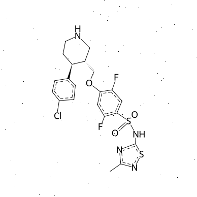 Cc1nsc(NS(=O)(=O)c2cc(F)c(OC[C@H]3CNCC[C@@H]3c3ccc(Cl)cc3)cc2F)n1